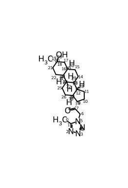 Cc1nnnn1CC(=O)[C@H]1CC[C@H]2[C@@H]3CC[C@@H]4C[C@](C)(O)CC[C@@H]4[C@H]3CC[C@@H]21